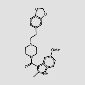 COc1ccc2[nH]c(C)c(C(=O)N3CCN(CCc4ccc5c(c4)OCO5)CC3)c2c1